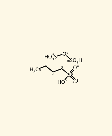 CCCCS(=O)(=O)O.O=S(=O)(O)OS(=O)(=O)O